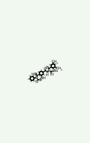 CC[C@@H](N(NC(=O)c1ccc2c(c1)NOC(=O)N(c1ccccc1)B2O)C(=O)c1cc(C)cc(C)c1)C(C)(C)C